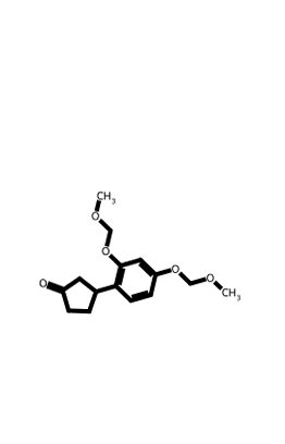 COCOc1ccc(C2CCC(=O)C2)c(OCOC)c1